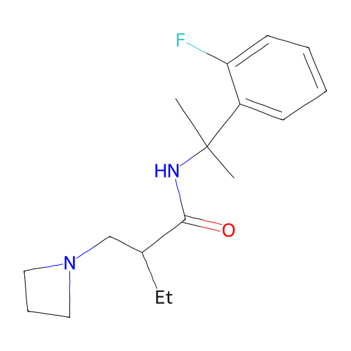 CCC(CN1CCC1)C(=O)NC(C)(C)c1ccccc1F